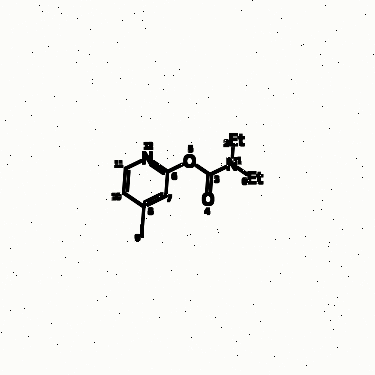 CCN(CC)C(=O)Oc1cc(I)ccn1